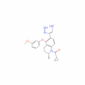 CN/C=C(\N=N)c1ccc2c(c1Oc1cccc(OC)c1)CC[C@H](C)N2C(=O)C1CC1